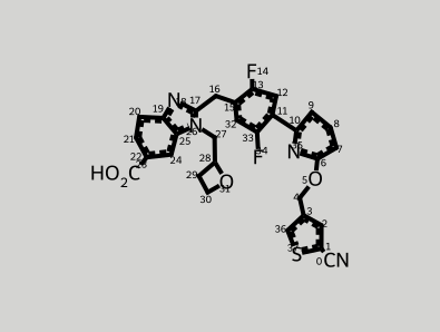 N#Cc1cc(COc2cccc(-c3cc(F)c(Cc4nc5ccc(C(=O)O)cc5n4CC4CCO4)cc3F)n2)cs1